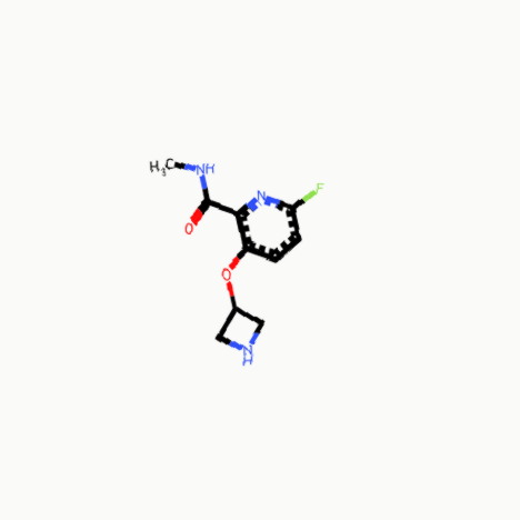 CNC(=O)c1nc(F)ccc1OC1CNC1